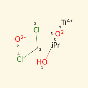 CC(C)O.ClCCl.[O-2].[O-2].[Ti+4]